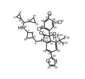 Cl.O=C1N(CC2CC(NC(C3CC3)C3CC3)C2)c2cc(-c3ncco3)cc(C(F)(F)F)c2C1(O)c1ccc(Cl)cc1Cl